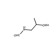 COC(C)CN[C]=O